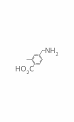 Cc1cc(CN)ccc1C(=O)O